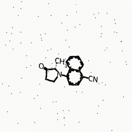 C[C@H]1C(=O)CCN1c1ccc(C#N)c2ccccc12